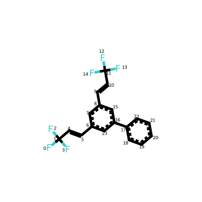 FC(F)(F)C=Cc1cc(C=CC(F)(F)F)cc(-c2ccccc2)c1